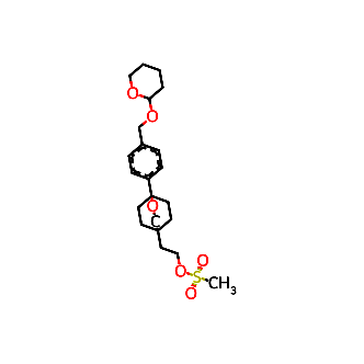 CS(=O)(=O)OCCC12CCC(c3ccc(COC4CCCCO4)cc3)(CC1)OC2